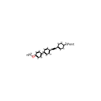 CCCCCC1CC=C(C#Cc2ccc(-c3ccc(OCCC)cc3)cc2)CC1